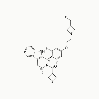 C[C@@H]1Cc2c([nH]c3ccccc23)[C@@H](c2c(F)cc(OCCN3CC(CF)C3)cc2F)N1C(=O)C1CSC1